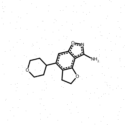 Nc1noc2cc(C3CCOCC3)c3c(c12)OCC3